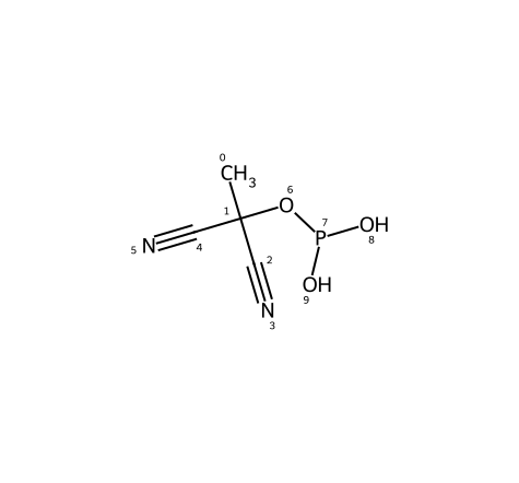 CC(C#N)(C#N)OP(O)O